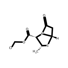 C[C@H]1S[C@H]2CC(=O)N2[C@H]1C(=O)OCCl